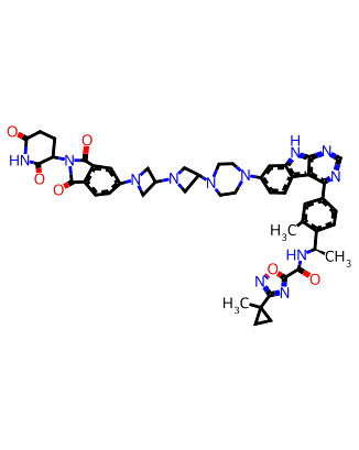 Cc1cc(-c2ncnc3[nH]c4cc(N5CCN(C6CN(C7CN(c8ccc9c(c8)C(=O)N(C8CCC(=O)NC8=O)C9=O)C7)C6)CC5)ccc4c23)ccc1[C@@H](C)NC(=O)c1nc(C2(C)CC2)no1